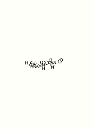 COC(=O)N[C@@H]1CC[C@H](C(=O)Nc2cc(-c3cncc(NCC4CCOCC4)n3)c(Cl)cn2)C1